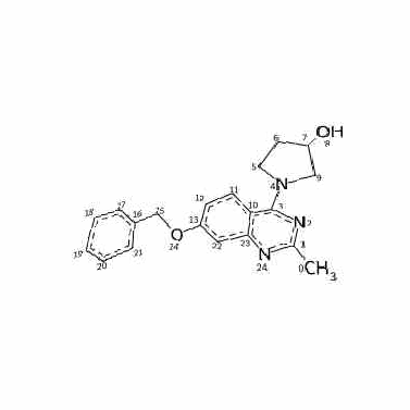 Cc1nc(N2CCC(O)C2)c2ccc(OCc3ccccc3)cc2n1